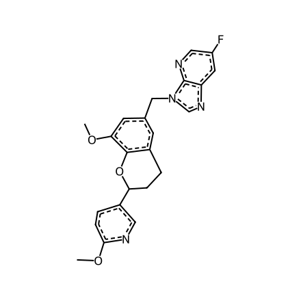 COc1ccc(C2CCc3cc(Cn4cnc5cc(F)cnc54)cc(OC)c3O2)cn1